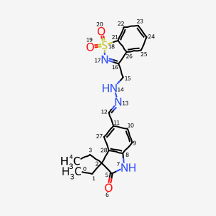 CCC1(CC)C(=O)Nc2ccc(/C=N/NCC3=NS(=O)(=O)c4ccccc43)cc21